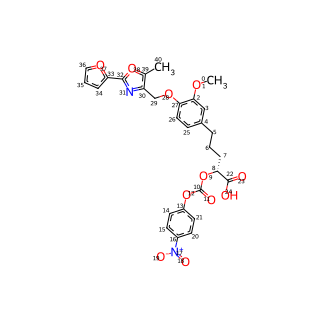 COc1cc(CCC[C@@H](OC(=O)Oc2ccc([N+](=O)[O-])cc2)C(=O)O)ccc1OCc1nc(-c2ccco2)oc1C